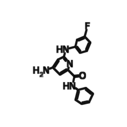 Nc1cc(Nc2cccc(F)c2)nc(C(=O)Nc2ccccc2)c1